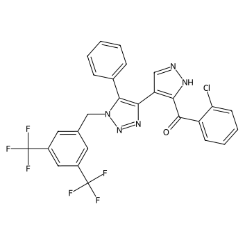 O=C(c1ccccc1Cl)c1[nH]ncc1-c1nnn(Cc2cc(C(F)(F)F)cc(C(F)(F)F)c2)c1-c1ccccc1